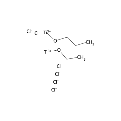 CCC[O][Ti+3].CC[O][Ti+3].[Cl-].[Cl-].[Cl-].[Cl-].[Cl-].[Cl-]